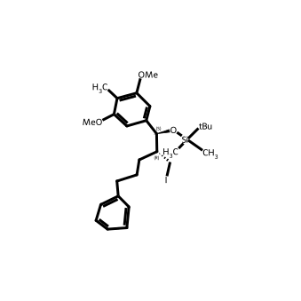 COc1cc([C@@H](O[Si](C)(C)C(C)(C)C)[C@H](CI)CCCc2ccccc2)cc(OC)c1C